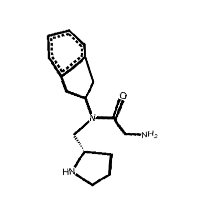 NCC(=O)N(C[C@@H]1CCCN1)C1Cc2ccccc2C1